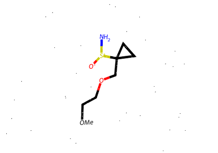 COCCOCC1([S+](N)[O-])CC1